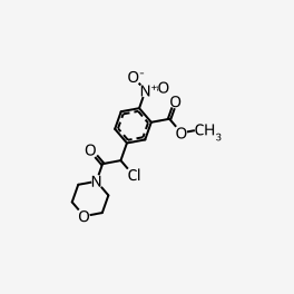 COC(=O)c1cc(C(Cl)C(=O)N2CCOCC2)ccc1[N+](=O)[O-]